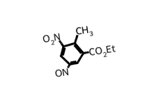 CCOC(=O)c1cc(N=O)cc([N+](=O)[O-])c1C